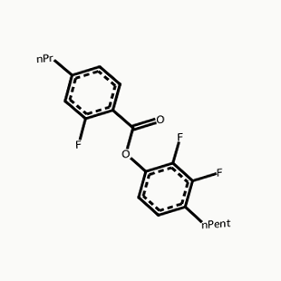 CCCCCc1ccc(OC(=O)c2ccc(CCC)cc2F)c(F)c1F